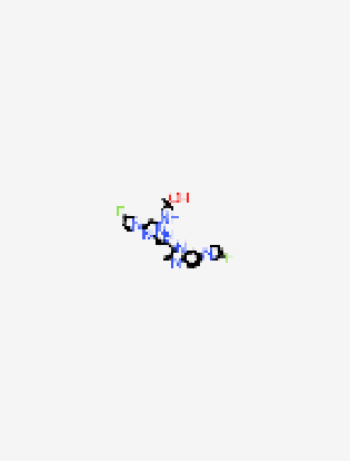 Cc1nc2ccc(N3CC[C@@H](F)C3)cc2nc1-c1cc2nc(N3CC[C@@H](F)C3)cc(NCC(C)(C)O)n2n1